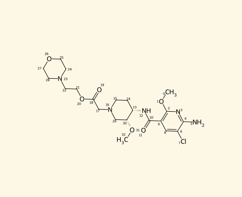 COc1nc(N)c(Cl)cc1C(=O)N[C@H]1CCN(CC(=O)OCCN2CCOCC2)C[C@H]1OC